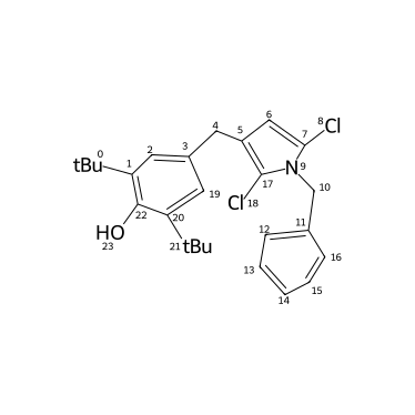 CC(C)(C)c1cc(Cc2cc(Cl)n(Cc3ccccc3)c2Cl)cc(C(C)(C)C)c1O